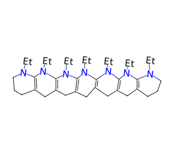 CCN1CCCC2=C1N(CC)C1=C(C2)CC2=C(N1CC)N(CC)C1=C(CC3=C(N(CC)C4=C(CCCN4CC)C3)N1CC)C2